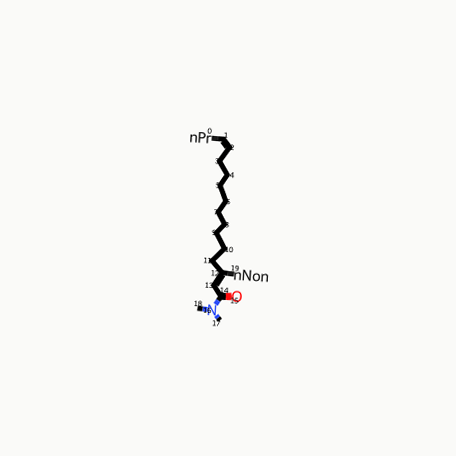 CCC/C=C\CCCCCCCCC/C(=C/C(=O)N(C)C)CCCCCCCCC